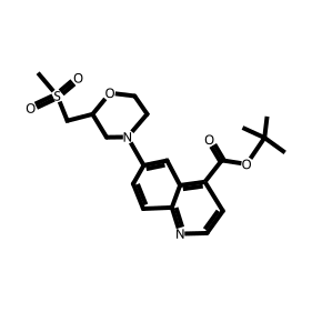 CC(C)(C)OC(=O)c1ccnc2ccc(N3CCOC(CS(C)(=O)=O)C3)cc12